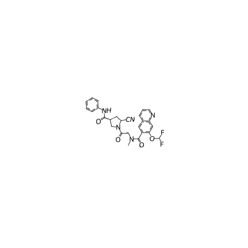 CN(CC(=O)N1CC(C(=O)Nc2ccccc2)CC1C#N)C(=O)c1cc2cccnc2cc1OC(F)F